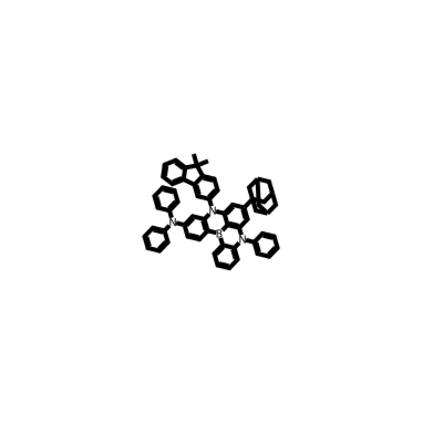 CC1(C)c2ccccc2-c2cc(N3c4cc(N(c5ccccc5)c5ccccc5)ccc4B4c5ccccc5N(c5ccccc5)c5cc(C67CC8CC(CC(C8)C6)C7)cc3c54)ccc21